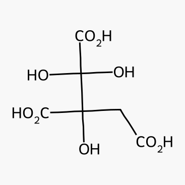 O=C(O)CC(O)(C(=O)O)C(O)(O)C(=O)O